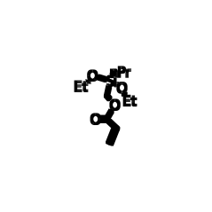 C=CC(=O)OC[Si](CCC)(OCC)OCC